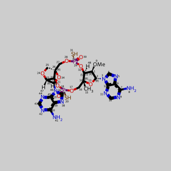 CO[C@H]1[C@H](n2cnc3c(N)ncnc32)O[C@]2(C)CO[P@@](=O)(S)O[C@H]3[C@H]4OC[C@]3(CO[P@](=O)(S)O[C@@H]12)O[C@H]4n1cnc2c(N)ncnc21